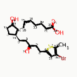 Cc1sc(CCC(=O)CC[C@H]2CCC(O)[C@@H]2C/C=C\CCCC(=O)O)cc1Br